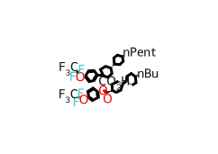 CCCCCC1CCC([C@H]2CC[C@@](C(=O)O)(c3ccc(OC(F)(F)C(F)(F)F)cc3)CC2)CC1.CCCC[C@H]1CC[C@H]([C@H]2CC[C@H](C(=O)Oc3ccc(OC(F)(F)C(F)(F)F)cc3)CC2)CC1